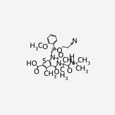 COc1ccccc1[C@H](Cn1c(=O)n(C(C)(C)C(=O)NC(C)C)c(=O)c2c(C)c(C(=O)O)sc21)OCCC#N